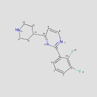 Fc1cccc(-c2nccc(C3CCNCC3)n2)c1F